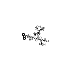 O=C(O)CCN(CCC(=O)O)C(=O)CNC(=O)CCN(CCC(=O)NCC(=O)N(CCC(=O)O)CCC(=O)O)C(=O)CNC(=O)OCC1c2ccccc2-c2ccccc21